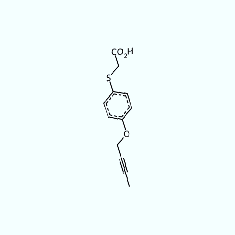 CC#CCOc1ccc(SCC(=O)O)cc1